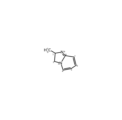 CC1CN2C=CC=CC2=N1